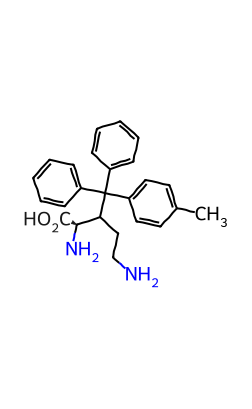 Cc1ccc(C(c2ccccc2)(c2ccccc2)C(CCN)[C@@H](N)C(=O)O)cc1